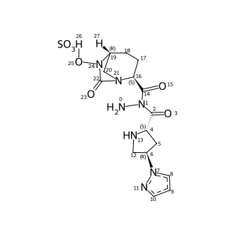 NN(C(=O)[C@@H]1C[C@@H](n2cccn2)CN1)C(=O)[C@@H]1CC[C@@H]2CN1C(=O)N2OS(=O)(=O)O